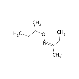 [CH2]C(CC)=NOC(C)CC